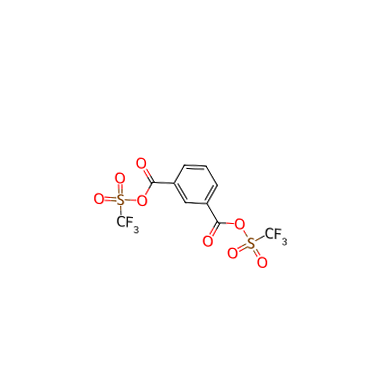 O=C(OS(=O)(=O)C(F)(F)F)c1cccc(C(=O)OS(=O)(=O)C(F)(F)F)c1